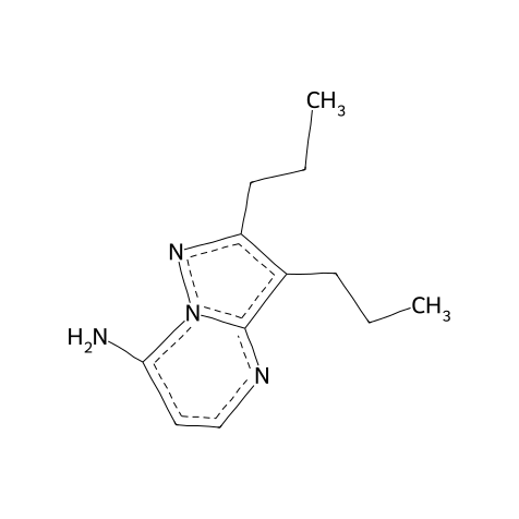 CCCc1nn2c(N)ccnc2c1CCC